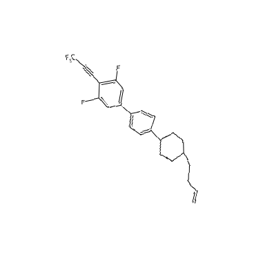 C=CCCC1CCC(c2ccc(-c3cc(F)c(C#CC(F)(F)F)c(F)c3)cc2)CC1